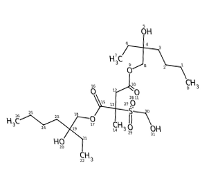 CCCCC(O)(CC)COC(=O)CC(C)(C(=O)OCC(O)(CC)CCCC)S(=O)(=O)CO